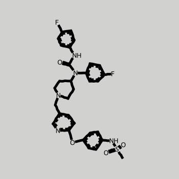 CS(=O)(=O)Nc1ccc(Oc2ccc(CN3CCC(N(C(=O)Nc4ccc(F)cc4)c4ccc(F)cc4)CC3)cn2)cc1